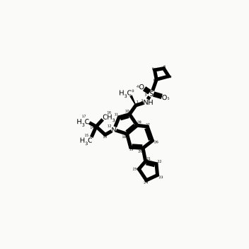 C[C@@H](NS(=O)(=O)C1CCC1)c1cn(CC(C)(C)C)c2cc(C3=CCCC3)ccc12